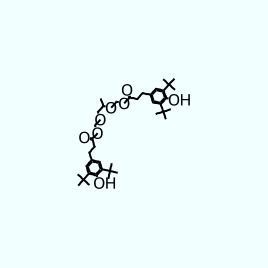 CC(COCOC(=O)CCc1cc(C(C)(C)C)c(O)c(C(C)(C)C)c1)OCOC(=O)CCc1cc(C(C)(C)C)c(O)c(C(C)(C)C)c1